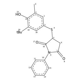 Cc1cc(SC2CC(=O)N(c3ccccc3)C2=O)cc(C(C)(C)C)c1O